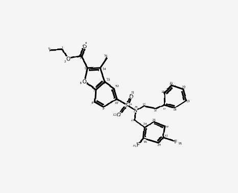 CCOC(=O)c1oc2ccc(S(=O)(=O)N(CCc3ccccc3)Cc3ccc(F)cc3F)cc2c1C